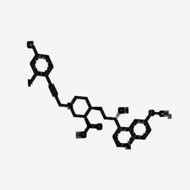 COc1ccc2nccc([C@@H](O)CC[C@@H]3CCN(CC#Cc4ccc(Cl)cc4F)C[C@@H]3C(=O)O)c2c1